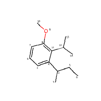 CCC(C)c1cccc(OC)c1C(C)C